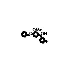 COc1cc(C(O)c2cccc(F)c2)ccc1OCc1ccccc1